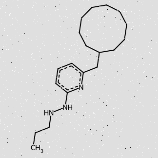 CCCNNc1cccc(CC2CCCCCCCCC2)n1